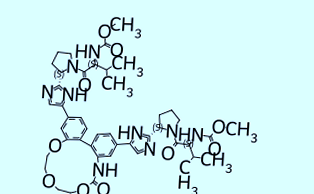 COC(=O)N[C@H](C(=O)N1CCC[C@H]1c1ncc(-c2ccc3c(c2)NC(=O)OCCOCCOc2cc(-c4cnc([C@@H]5CCCN5C(=O)[C@@H](NC(=O)OC)C(C)C)[nH]4)ccc2-3)[nH]1)C(C)C